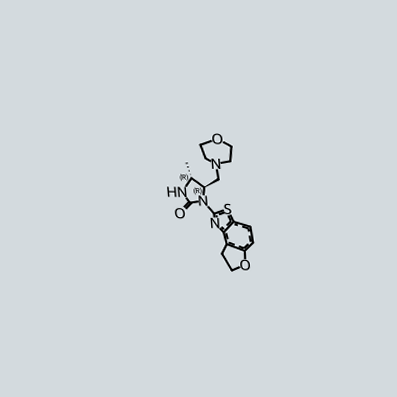 C[C@H]1NC(=O)N(c2nc3c4c(ccc3s2)OCC4)[C@@H]1CN1CCOCC1